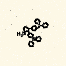 Nc1cccc(-c2ccc(C=C(c3ccccc3)c3ccccc3)cc2)c1-c1ccc(N(c2ccccc2)c2ccccc2)cc1